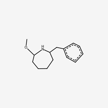 COC1CCCCC(Cc2ccccc2)N1